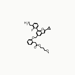 COCCCOC(=O)Cc1ccccc1OCc1cc(-c2cccc(CN)c2F)c2oc(C3CC3)cc2c1